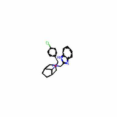 Clc1ccc(CC2CC3CCC(C2)C3NCc2nc3ccccc3[nH]2)cc1